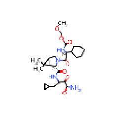 COCOC(=O)N[C@H](C(=O)N1CC2C([C@H]1C(=O)NC(CC1CC1)C(=O)C(N)=O)C2(C)C)C1CCCCC1